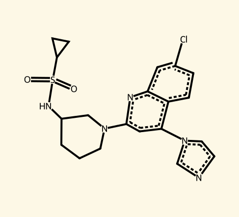 O=S(=O)(NC1CCCN(c2cc(-n3ccnc3)c3ccc(Cl)cc3n2)C1)C1CC1